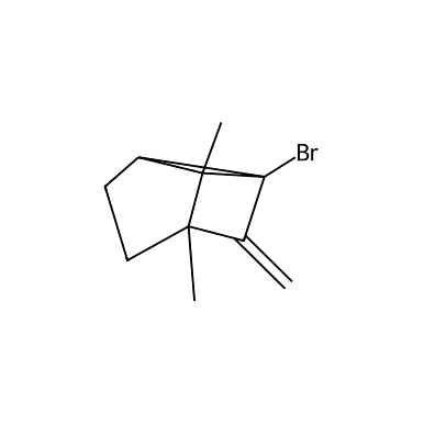 C=C1C2(C)CCC3C1(Br)C32C